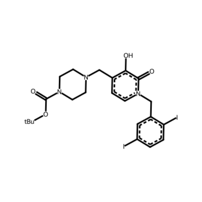 CC(C)(C)OC(=O)N1CCN(Cc2ccn(Cc3cc(I)ccc3I)c(=O)c2O)CC1